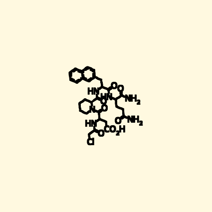 NC(=O)CCC(NC(=O)C(Cc1ccc2ccccc2c1)NC(=O)[C@@H]1CCCCN1C(=O)C(CC(=O)O)NC(=O)CCl)C(N)=O